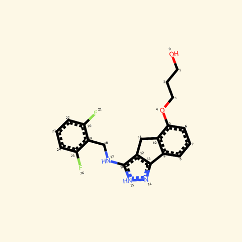 OCCCOc1cccc2c1Cc1c-2n[nH]c1NCc1c(F)cccc1F